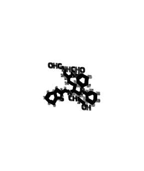 CN(CC1=CC2C=CC=CC2S1)C(CCC(CNC=O)NC=O)[C@@H](CCO)N(c1ccccc1)c1ccccc1